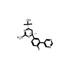 CC(C)(O)[C@@H]1C[C@@](C)(c2ccc(F)c(-c3cncnc3)c2)SC(N)=N1